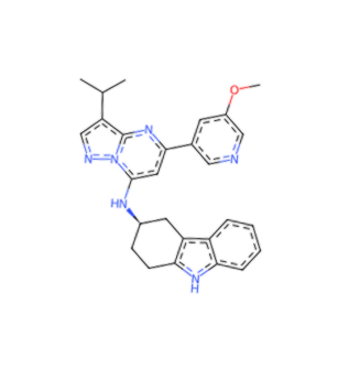 COc1cncc(-c2cc(N[C@@H]3CCc4[nH]c5ccccc5c4C3)n3ncc(C(C)C)c3n2)c1